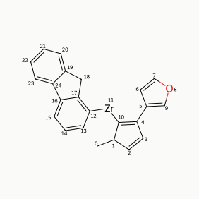 CC1C=CC(c2ccoc2)=[C]1[Zr][c]1cccc2c1Cc1ccccc1-2